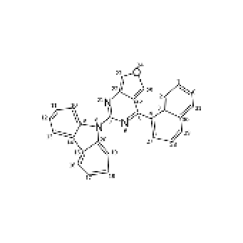 c1ccc2c(-c3nc(-n4c5ccccc5c5ccccc54)nc4cocc34)cccc2c1